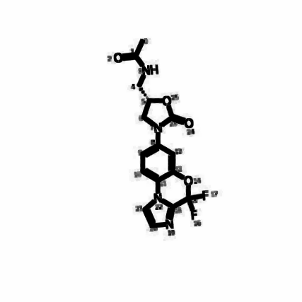 CC(=O)NC[C@H]1CN(c2ccc3c(c2)OC(F)(F)c2nccn2-3)C(=O)O1